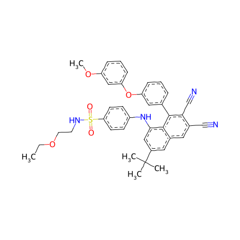 CCOCCNS(=O)(=O)c1ccc(Nc2cc(C(C)(C)C)cc3cc(C#N)c(C#N)c(-c4cccc(Oc5cccc(OC)c5)c4)c23)cc1